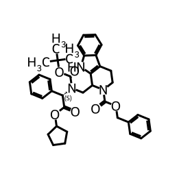 CC(C)(C)OC(=O)N(CC1c2[nH]c3ccccc3c2CCN1C(=O)OCc1ccccc1)[C@H](C(=O)OC1CCCC1)c1ccccc1